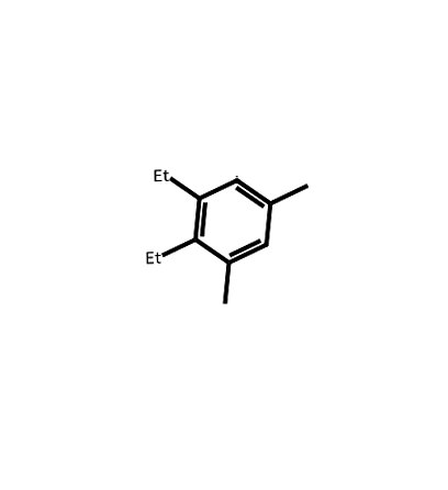 CCc1[c]c(C)cc(C)c1CC